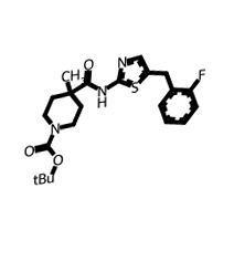 CC(C)(C)OC(=O)N1CCC(C)(C(=O)Nc2ncc(Cc3ccccc3F)s2)CC1